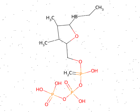 C=P(O)(OCC1OC(BCC)C(C)C1C)OP(=O)(O)OP(=O)(O)O